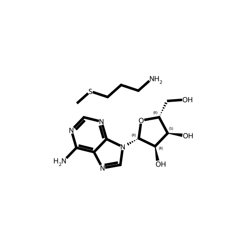 CSCCCN.Nc1ncnc2c1ncn2[C@@H]1O[C@H](CO)[C@@H](O)[C@H]1O